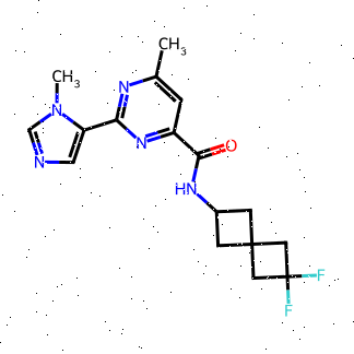 Cc1cc(C(=O)NC2CC3(C2)CC(F)(F)C3)nc(-c2cncn2C)n1